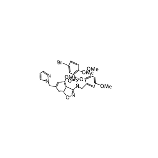 COc1cc(CN(c2noc3cc(Cn4cccn4)cc(OC)c23)S(=O)(=O)c2cc(Br)ccc2OC)cc(OC)c1